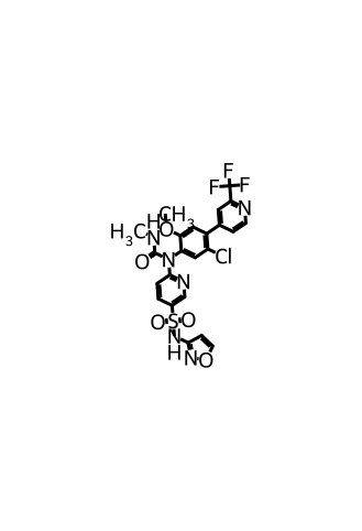 CNC(=O)N(c1ccc(S(=O)(=O)Nc2ccon2)cn1)c1cc(Cl)c(-c2ccnc(C(F)(F)F)c2)cc1OC